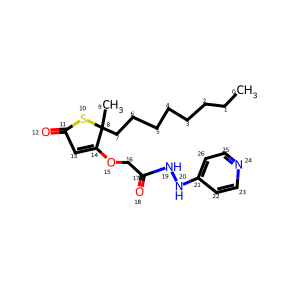 CCCCCCCCC1(C)SC(=O)C=C1OCC(=O)NNc1ccncc1